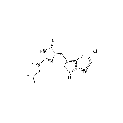 CC(C)CN(C)C1=NC(=Cc2c[nH]c3ncc(Cl)cc23)C(=O)N1